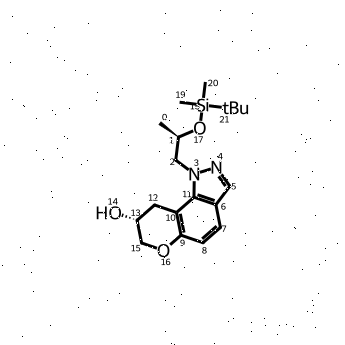 C[C@H](Cn1ncc2ccc3c(c21)C[C@@H](O)CO3)O[Si](C)(C)C(C)(C)C